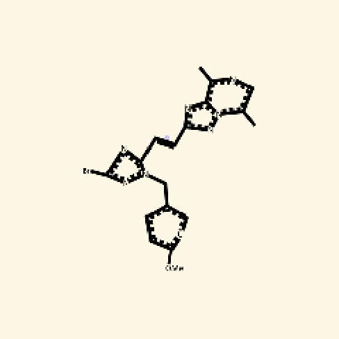 COc1ccc(Cn2nc(Br)nc2/C=C/c2nc3c(C)ncc(C)n3n2)cc1